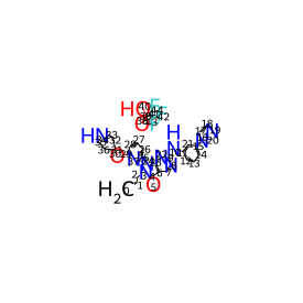 C=CCn1c(=O)c2cnc(Nc3cccc(-n4ccnc4)c3)nc2n1-c1cccc(OC2CCNCC2)n1.O=C(O)C(F)(F)F